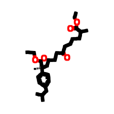 CCOC(=O)C(C)CCCCC(=O)CCCC[C@](C)(C(=O)OCC)c1ccc(CC(C)C)cc1